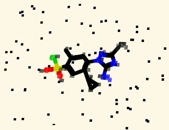 Cc1cc(-n2nc(C(F)(F)F)nc2N)c(C2CC2)cc1S(=O)(=O)Cl